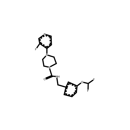 O=C(NCc1cccc(OC(F)F)c1)N1CCN(c2ccncc2F)CC1